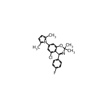 Cc1ccc(C)n1-c1cc(Cl)c2c(c1)OC(C)(C)N=C2c1ccc(F)cc1